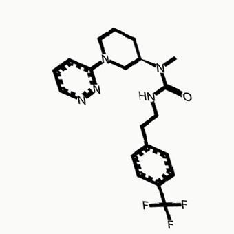 CN(C(=O)NCCc1ccc(C(F)(F)F)cc1)[C@@H]1CCCN(c2cccnn2)C1